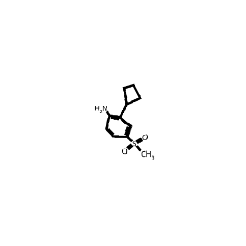 CS(=O)(=O)c1ccc(N)c(C2CCC2)c1